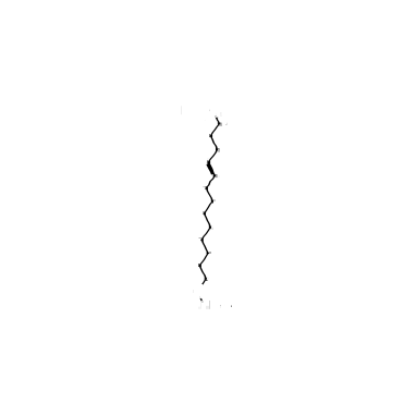 CCCCCCOCCCCCCCCC=CCCCC(=O)O